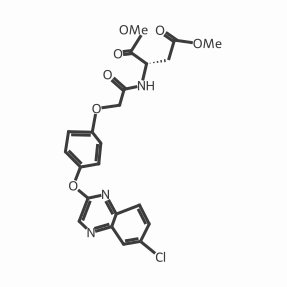 COC(=O)C[C@H](NC(=O)COc1ccc(Oc2cnc3cc(Cl)ccc3n2)cc1)C(=O)OC